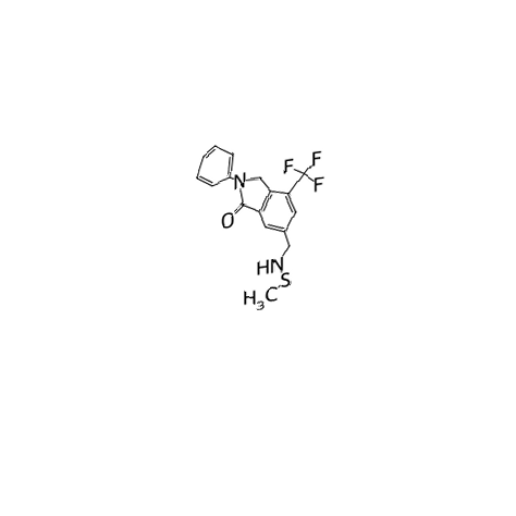 CSNCc1cc2c(c(C(F)(F)F)c1)CN(c1ccccc1)C2=O